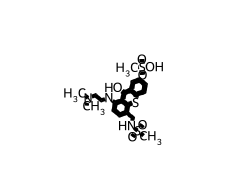 CN(C)CCNc1ccc(CNS(C)(=O)=O)c2sc3ccccc3c(=O)c12.CS(=O)(=O)O